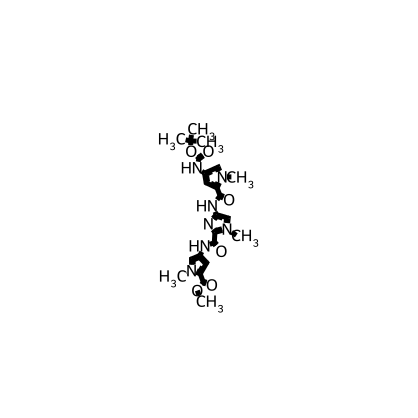 COC(=O)c1cc(NC(=O)c2nc(NC(=O)c3cc(NC(=O)OC(C)(C)C)cn3C)cn2C)cn1C